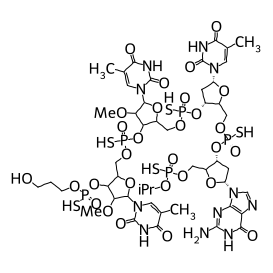 COC1C(OP(=O)(S)OCCCO)C(COP(=O)(S)OC2C(COP(=O)(S)O[C@@H]3C[C@H](n4cc(C)c(=O)[nH]c4=O)OC3COP(=O)(S)O[C@@H]3C[C@H](n4cnc5c(=O)[nH]c(N)nc54)OC3COP(=O)(S)OC(C)C)OC(n3cc(C)c(=O)[nH]c3=O)C2OC)OC1n1cc(C)c(=O)[nH]c1=O